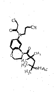 CC(=O)NC(C)(C)CC(C)(C)C(=O)N1CCOc2ccc(N(CCC#N)C(=O)CCl)cc21